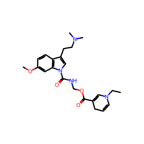 CCN1C=CCC(C(=O)OCNC(=O)n2cc(CCN(C)C)c3ccc(OC)cc32)=C1